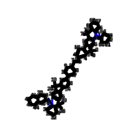 CC1(C)c2cc(/C=C/c3ccc(-c4ccc5c(c4)C(C)(C)c4cc6c(cc4-5)C(C)(C)c4ccccc4N6c4ccc5ccccc5c4)cc3)ccc2-c2cc3c(cc21)N(c1ccccc1)c1ccccc1C3(C)C